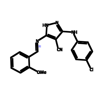 COc1ccccc1/C=N/c1[nH]nc(Nc2ccc(Cl)cc2)c1C#N